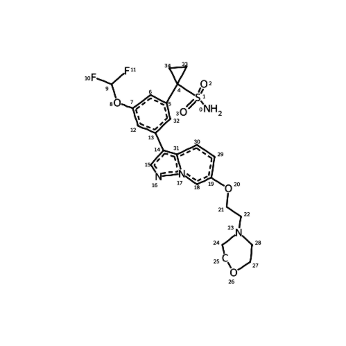 NS(=O)(=O)C1(c2cc(OC(F)F)cc(-c3cnn4cc(OCCN5CCOCC5)ccc34)c2)CC1